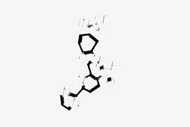 CCS(=O)(=O)c1ccc(-c2ncccn2)nc1-c1nc2cc(S(=N)(=O)C(F)(F)F)ccc2o1